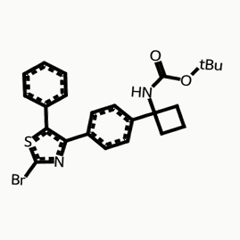 CC(C)(C)OC(=O)NC1(c2ccc(-c3nc(Br)sc3-c3ccccc3)cc2)CCC1